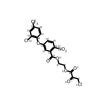 O=C(CCl)C(=O)OCCOC(=O)c1cc(Oc2ccc(C(F)(F)F)cc2Cl)ccc1[N+](=O)[O-]